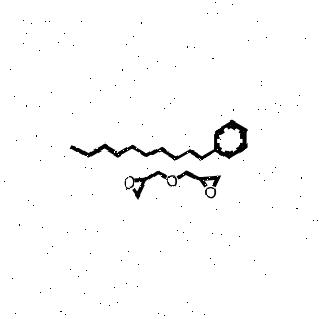 C(OCC1CO1)C1CO1.CCCCCCCCCCc1ccccc1